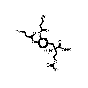 COC(=O)[C@@](N)(CCOC(=O)C(C)C)Cc1ccc(OC(=O)CCC(C)C)c(OC(=O)CCC(C)C)c1